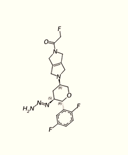 NN=N[C@H]1C[C@@H](N2CC3=C(CN(C(=O)CF)C3)C2)CO[C@@H]1c1cc(F)ccc1F